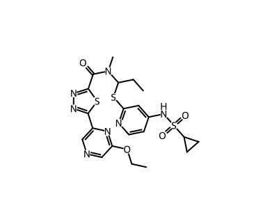 CCOc1cncc(-c2nnc(C(=O)N(C)C(CC)Sc3cc(NS(=O)(=O)C4CC4)ccn3)s2)n1